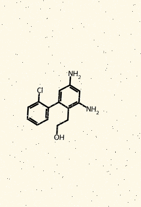 Nc1cc(N)c(CCO)c(-c2ccccc2Cl)c1